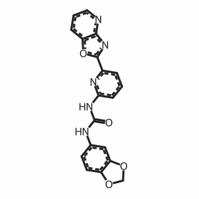 O=C(Nc1ccc2c(c1)OCO2)Nc1cccc(-c2nc3ncccc3o2)n1